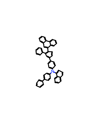 c1ccc(-c2ccc(N(c3ccc(-c4ccc(-c5cc6ccccc6c6ccccc56)c(-c5ccccc5)c4)cc3)c3cccc4ccccc34)cc2)cc1